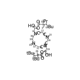 CCC(C)CC(C)(C(=O)OC(O)CN1CCCN(C)CCN(CC(O)OC(=O)C(C)(CC(C)(C)C)C(C)(C)C)CCCN(C)CC1)C(C)C